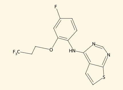 Fc1ccc(Nc2ncnc3sccc23)c(OCCC(F)(F)F)c1